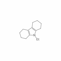 CCn1c2c(c3c1CCCC3)CCCC2